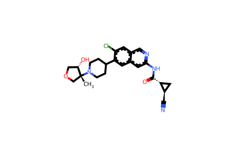 C[C@@]1(N2CCC(c3cc4cc(NC(=O)[C@@H]5C[C@H]5C#N)ncc4cc3Cl)CC2)COC[C@@H]1O